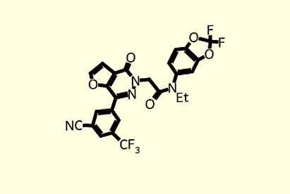 CCN(C(=O)Cn1nc(-c2cc(C#N)cc(C(F)(F)F)c2)c2occc2c1=O)c1ccc2c(c1)OC(F)(F)O2